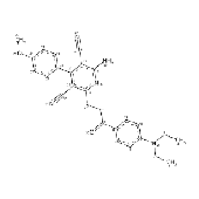 CCN(CC)c1ccc(C(=O)CSc2nc(N)c(C#N)c(-c3ccc(OC)cc3)c2C#N)cc1